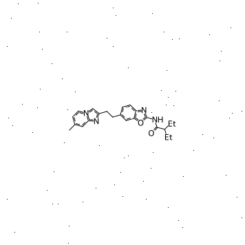 CCC(CC)C(=O)Nc1nc2ccc(CCc3cn4ccc(C)cc4n3)cc2o1